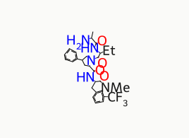 CCC(NC(=O)C(C)N)C(=O)N1CC(c2ccccc2)CC1C(=O)NC(Cc1cccc(C(F)(F)F)c1)C(=O)NC